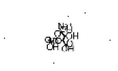 O=C(O)C(O)C(O)C(=O)O.O=C([O-])O.[Na+]